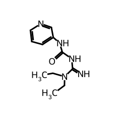 CCN(CC)C(=N)NC(=O)Nc1cccnc1